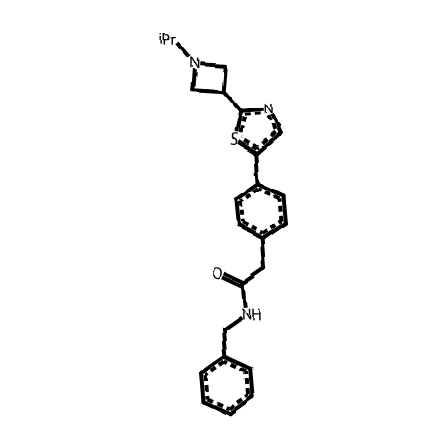 CC(C)N1CC(c2ncc(-c3ccc(CC(=O)NCc4ccccc4)cc3)s2)C1